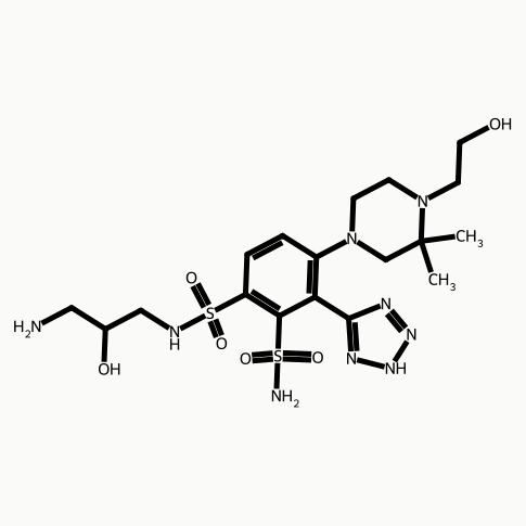 CC1(C)CN(c2ccc(S(=O)(=O)NCC(O)CN)c(S(N)(=O)=O)c2-c2nn[nH]n2)CCN1CCO